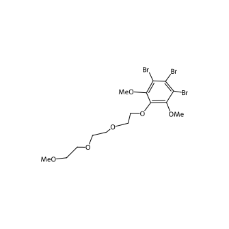 COCCOCCOCCOc1c(OC)c(Br)c(Br)c(Br)c1OC